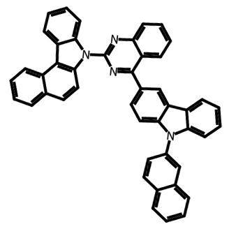 c1ccc2cc(-n3c4ccccc4c4cc(-c5nc(-n6c7ccccc7c7c8ccccc8ccc76)nc6ccccc56)ccc43)ccc2c1